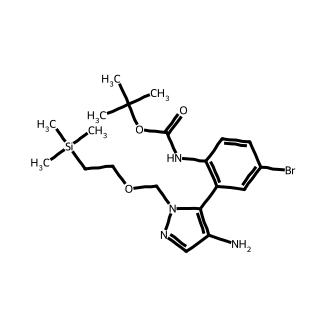 CC(C)(C)OC(=O)Nc1ccc(Br)cc1-c1c(N)cnn1COCC[Si](C)(C)C